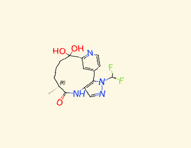 C[C@@H]1CCCC(O)(O)c2cc(ccn2)-c2c(cnn2C(F)F)NC1=O